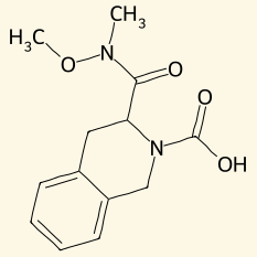 CON(C)C(=O)C1Cc2ccccc2CN1C(=O)O